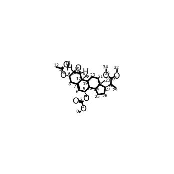 COC(=O)O[C@@H]1C=C2C[C@@H](OC(C)=O)[C@@H]3O[C@@H]3[C@]2(C)C2CC[C@@]3(C)C(CC[C@@H]3C(C)C(OC)OC)C21